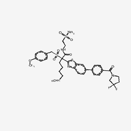 CCCCCCCCCCCCCCC(C(=O)NCCS(N)(=O)=O)(c1nc2ccc(-c3ccc(C(=O)N4CCC(F)(F)C4)cc3)cc2s1)S(=O)(=O)Cc1ccc(OC(F)(F)F)cc1